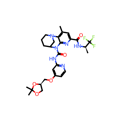 Cc1cc(C(=O)N[C@H](C)C(F)(F)F)nc2c1N1CCCC(C1)N2C(=O)Nc1cc(OC[C@H]2COC(C)(C)O2)ccn1